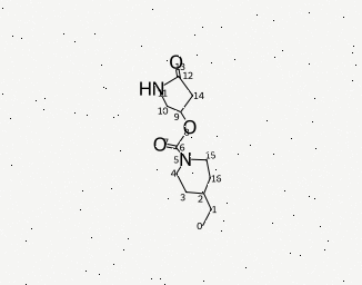 CCC1CCN(C(=O)OC2CNC(=O)C2)CC1